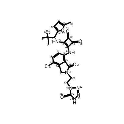 CCC(C)(C)[C@@H](Nc1c(Nc2ccc(Cl)c3c2C(=O)N(CCn2nn[nH]c2=O)C3)c(=O)c1=O)c1ccc(C)o1